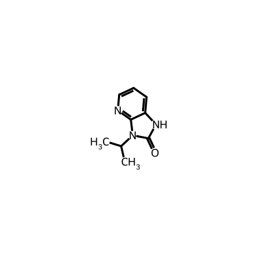 CC(C)n1c(=O)[nH]c2cccnc21